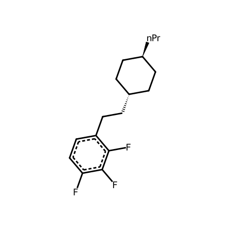 CCC[C@H]1CC[C@H](CCc2ccc(F)c(F)c2F)CC1